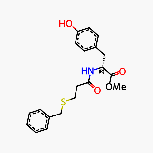 COC(=O)[C@@H](Cc1ccc(O)cc1)NC(=O)CCSCc1ccccc1